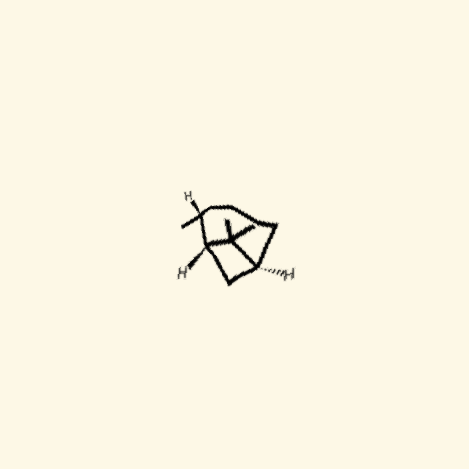 C[C@@H]1[CH]C[C@H]2C[C@H]1C2(C)C